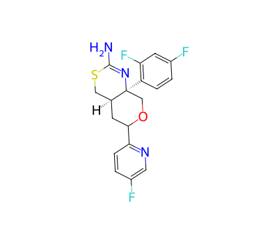 NC1=N[C@@]2(c3ccc(F)cc3F)COC(c3ccc(F)cn3)C[C@H]2CS1